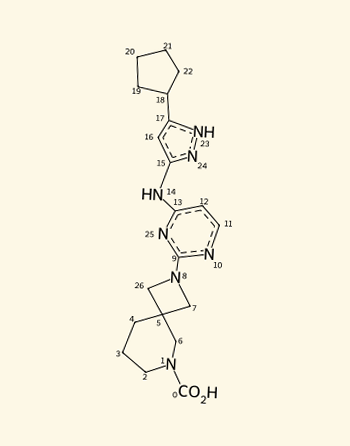 O=C(O)N1CCCC2(C1)CN(c1nccc(Nc3cc(C4CCCC4)[nH]n3)n1)C2